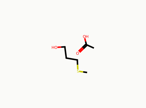 CC(=O)O.CSCCCO